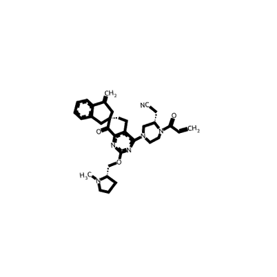 C=CC(=O)N1CCN(c2nc(OC[C@@H]3CCCN3C)nc3c2CC[C@]2(CC(=C)c4ccccc4C2)C3=O)C[C@@H]1CC#N